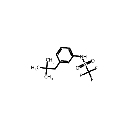 CC(C)(C)Cc1cccc(NS(=O)(=O)C(F)(F)F)c1